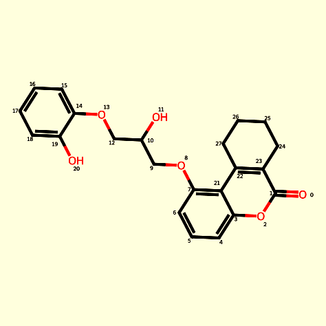 O=c1oc2cccc(OCC(O)COc3ccccc3O)c2c2c1CCCC2